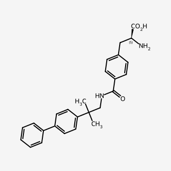 CC(C)(CNC(=O)c1ccc(C[C@H](N)C(=O)O)cc1)c1ccc(-c2ccccc2)cc1